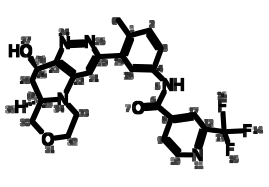 Cc1ccc(NC(=O)c2ccnc(C(F)(F)F)c2)cc1-c1cc2c(nn1)[C@H](O)C[C@@H]1COCCN21